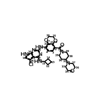 O=C(c1ccc(Nc2nc(NC3CCC3)c3c(Cl)c[nH]c3n2)c2c1OCCO2)N1CCC(N2CCOCC2)CC1